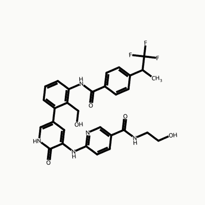 CC(c1ccc(C(=O)Nc2cccc(-c3c[nH]c(=O)c(Nc4ccc(C(=O)NCCO)cn4)c3)c2CO)cc1)C(F)(F)F